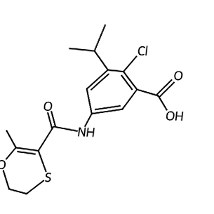 CC1=C(C(=O)Nc2cc(C(=O)O)c(Cl)c(C(C)C)c2)SCCO1